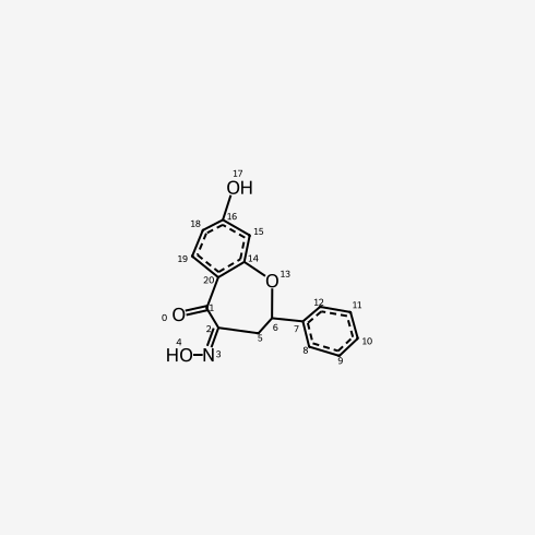 O=C1C(=NO)CC(c2ccccc2)Oc2cc(O)ccc21